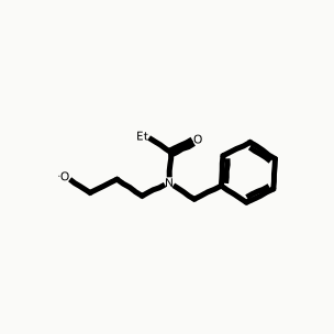 CCC(=O)N(CCC[O])Cc1ccccc1